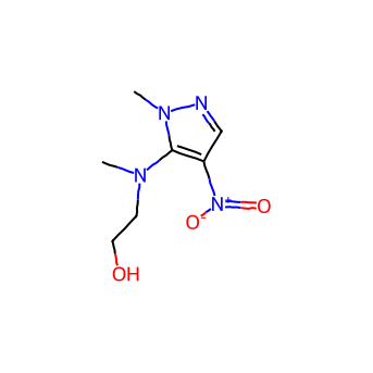 CN(CCO)c1c([N+](=O)[O-])cnn1C